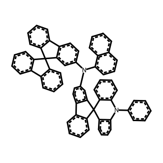 c1ccc(N2c3ccccc3C3(c4ccccc4-c4ccc(N(c5ccc6c(c5)C5(c7ccccc7-c7ccccc75)c5ccccc5-6)c5cccc6ccccc56)cc43)c3ccccc32)cc1